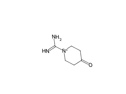 N=C(N)[N+]1CCC(=O)CC1